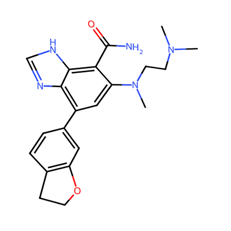 CN(C)CCN(C)c1cc(-c2ccc3c(c2)OCC3)c2nc[nH]c2c1C(N)=O